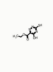 CCOC(=O)c1nnc(S)nc1O